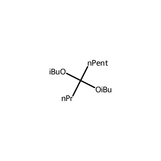 CCCCCC(CCC)(OCC(C)C)OCC(C)C